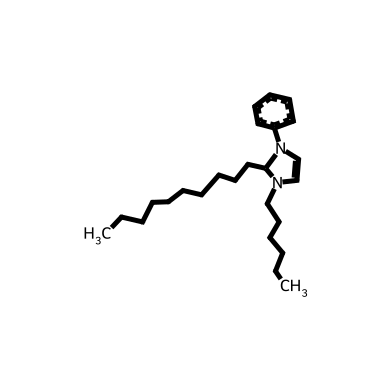 CCCCCCCCCCC1N(CCCCCC)C=CN1c1ccccc1